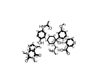 CC(=O)Nc1ccc(O)cc1.COc1cccc([C@@]2(O)CCCC[C@@H]2CN(C)C)c1.Cn1c(=O)c2c(ncn2C)n(C)c1=O.O=C(O)c1cccnc1